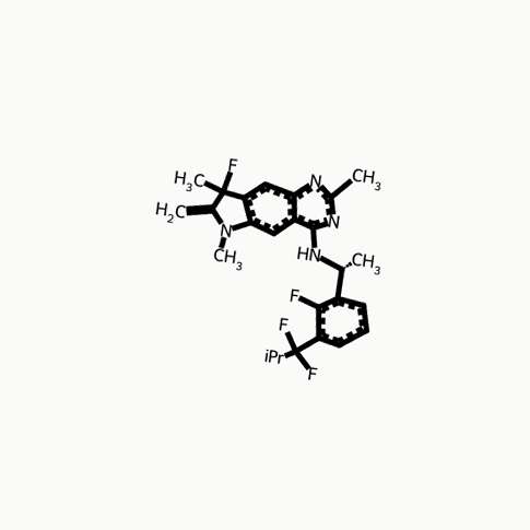 C=C1N(C)c2cc3c(N[C@H](C)c4cccc(C(F)(F)C(C)C)c4F)nc(C)nc3cc2C1(C)F